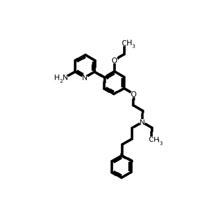 CCOc1cc(OCCN(CC)CCCc2ccccc2)ccc1-c1cccc(N)n1